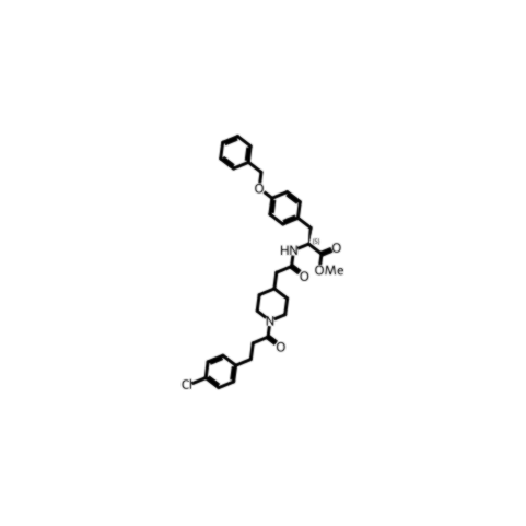 COC(=O)[C@H](Cc1ccc(OCc2ccccc2)cc1)NC(=O)CC1CCN(C(=O)CCc2ccc(Cl)cc2)CC1